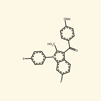 COc1ccc(C(=O)c2c(C(=O)O)n(-c3ccc(F)cc3)c3cc(F)ccc23)cc1